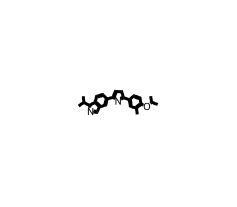 Cc1cc(C2=NC(c3ccc4c(c3)C=NC4C(C)C)=CC2)ccc1OC(C)C